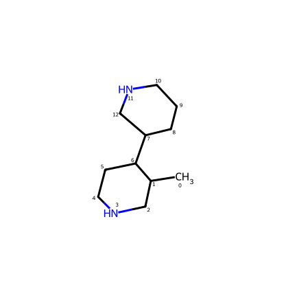 CC1CNCCC1C1CCCNC1